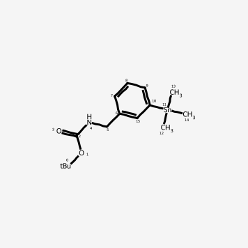 CC(C)(C)OC(=O)NCc1ccc[c]([Sn]([CH3])([CH3])[CH3])c1